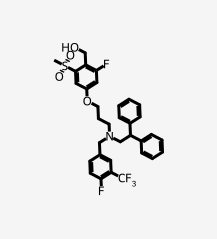 CS(=O)(=O)c1cc(OCCCN(Cc2ccc(F)c(C(F)(F)F)c2)CC(c2ccccc2)c2ccccc2)cc(F)c1CO